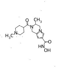 CC1Cn2cc(C(=O)NO)cc2CN1C(=O)C1CCN(C)CC1